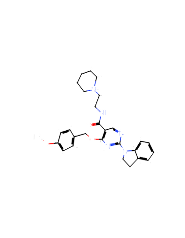 COc1ccc(COc2nc(N3CCc4ccccc43)ncc2C(=O)NCCN2CCCCC2)cc1